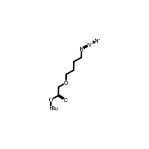 CC(C)(C)OC(=O)COCCCCN=[N+]=[N-]